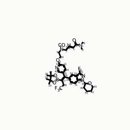 CN(C)C(=O)C=CCN(CCOc1ccc(C(=C(CC(F)(F)F)B2OC(C)(C)C(C)(C)O2)c2ccc3c(c2)c(F)nn3C2CCCCO2)cn1)C(=O)O